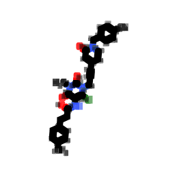 Cc1ccc(CCC(=O)Nc2c(Cl)n(CC#Cc3ccn(Cc4ccc(C#N)cc4)c(=O)c3)c(=O)n(C)c2=O)cc1